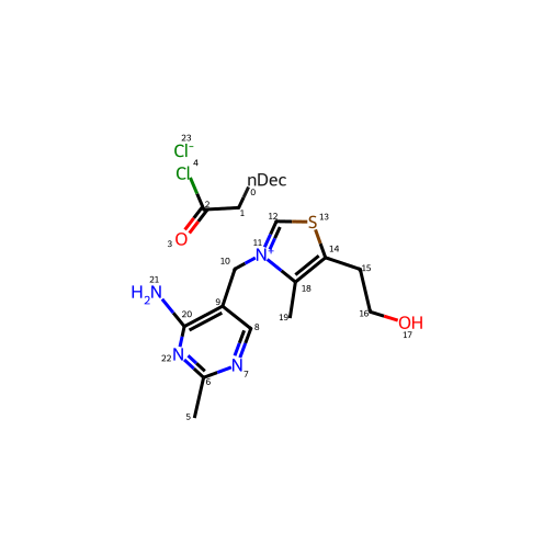 CCCCCCCCCCCC(=O)Cl.Cc1ncc(C[n+]2csc(CCO)c2C)c(N)n1.[Cl-]